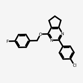 Fc1ccc(COc2nc(-c3ccc(Cl)cc3)nc3c2CCC3)cc1